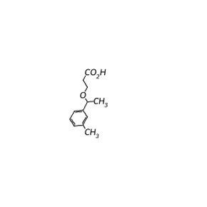 Cc1cccc(C(C)OCCC(=O)O)c1